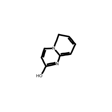 OC1=NC2=CC=CCN2C=C1